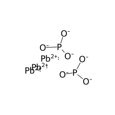 [O-]P([O-])[O-].[O-]P([O-])[O-].[Pb+2].[Pb+2].[Pb+2]